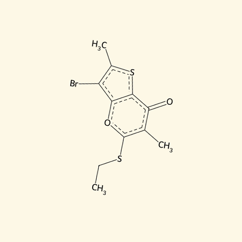 CCSc1oc2c(Br)c(C)sc2c(=O)c1C